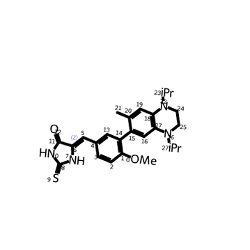 COc1ccc(/C=C2\NC(=S)NC2=O)cc1-c1cc2c(cc1C)N(C(C)C)CCN2C(C)C